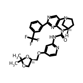 CC1(C)OC[C@H](COc2ccnc(NC(=O)N3c4nc(-c5cccc(C(F)(F)F)c5)ncc4N4CC[C@H]3C4)c2)O1